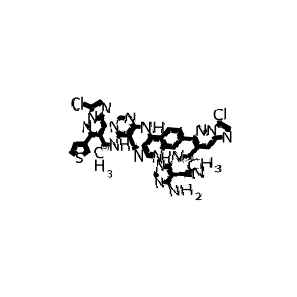 C[C@H](Nc1ncnc(N)c1C#N)c1cc2ncc(Cl)n2nc1-c1ccc2c(Nc3ncnc(N[C@@H](C)c4cc5ncc(Cl)n5nc4-c4ccsc4)c3C#N)ccnc2c1